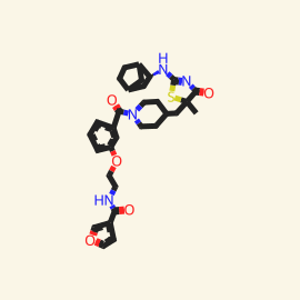 CC1(CC2CCN(C(=O)c3cccc(OCCNC(=O)c4ccoc4)c3)CC2)SC(N[C@H]2CC3CCC2C3)=NC1=O